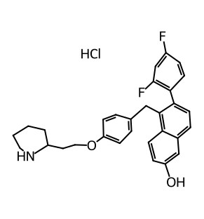 Cl.Oc1ccc2c(Cc3ccc(OCCC4CCCCN4)cc3)c(-c3ccc(F)cc3F)ccc2c1